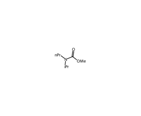 CCCN(C(=O)OC)C(C)C